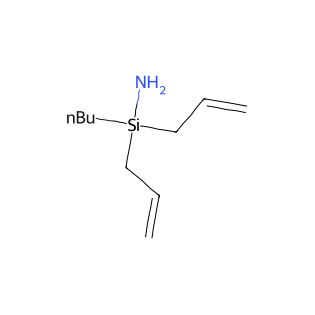 C=CC[Si](N)(CC=C)CCCC